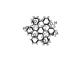 O=C(O)c1ccccc1-c1c(-c2ccccc2C(=O)O)c(-c2ccccc2C(=O)O)c(-c2ccccc2C(=O)O)c(-c2ccccc2C(=O)O)c1-c1ccccc1C(=O)O